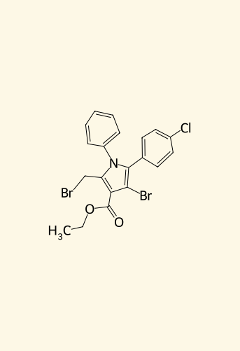 CCOC(=O)c1c(Br)c(-c2ccc(Cl)cc2)n(-c2ccccc2)c1CBr